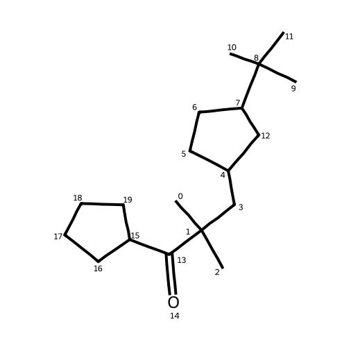 CC(C)(CC1CCC(C(C)(C)C)C1)C(=O)C1CCCC1